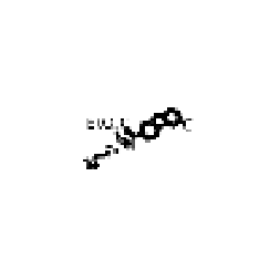 CCOC(=O)c1nn(COCC[Si](C)(C)C)nc1-c1ccc2c(c1)Cc1ccc(Cl)cc1-2